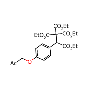 CCOC(=O)C(c1ccc(OCC(C)=O)cc1)C(C(=O)OCC)(C(=O)OCC)C(=O)OCC